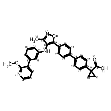 COc1ncccc1-c1cccc(Nc2c(C)noc2-c2ccc(-c3ccc(C4(C(=O)O)CC4)cc3)cc2)c1